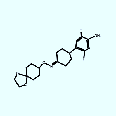 Nc1cc(F)c(C2CCC(=NOC3CCC4(CC3)OCCO4)CC2)cc1F